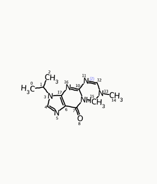 CC(C)n1cnc2c(=O)[nH]c(/N=C\N(C)C)nc21